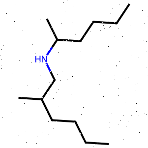 CCCCC(C)CNC(C)CCCC